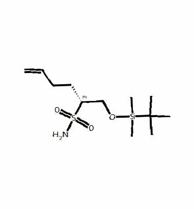 C=CCC[C@H](CO[Si](C)(C)C(C)(C)C)S(N)(=O)=O